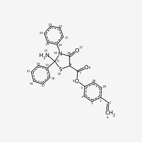 C=Cc1ccc(OC(=O)C2SC(N)(c3ccccc3)N(c3ccccc3)C2=O)cc1